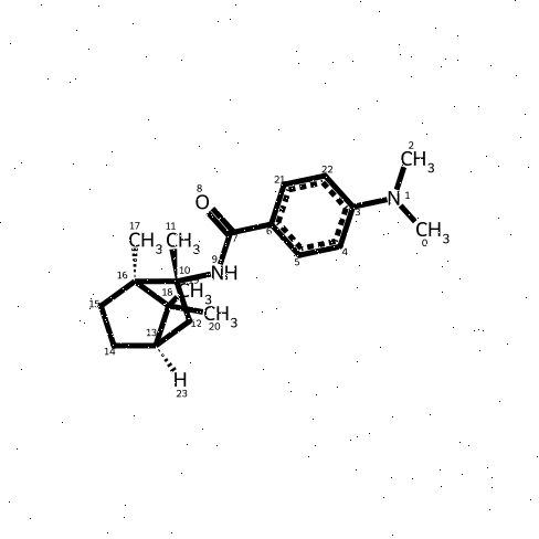 CN(C)c1ccc(C(=O)N[C@]2(C)C[C@H]3CC[C@]2(C)C3(C)C)cc1